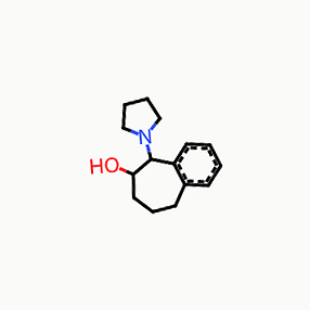 OC1CCCc2ccccc2C1N1CCCC1